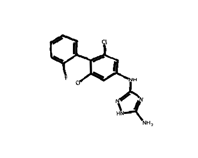 Nc1nc(Nc2cc(Cl)c(-c3ccccc3F)c(Cl)c2)n[nH]1